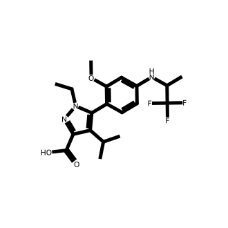 CCn1nc(C(=O)O)c(C(C)C)c1-c1ccc(NC(C)C(F)(F)F)cc1OC